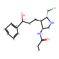 CCC(=O)N[C@@H]1CN[C@@H](CF)[C@@H]1CCC(O)c1ccccc1